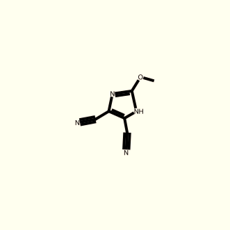 COc1nc(C#N)c(C#N)[nH]1